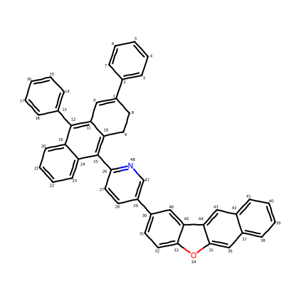 C1=C(c2ccccc2)CCc2c1c(-c1ccccc1)c1ccccc1c2-c1ccc(-c2ccc3oc4cc5ccccc5cc4c3c2)cn1